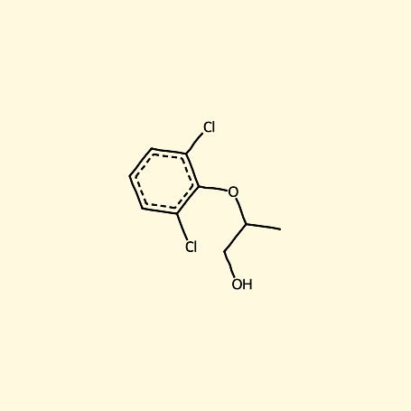 CC(CO)Oc1c(Cl)cccc1Cl